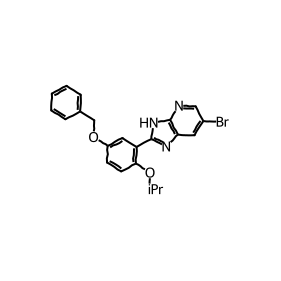 CC(C)Oc1ccc(OCc2ccccc2)cc1-c1nc2cc(Br)cnc2[nH]1